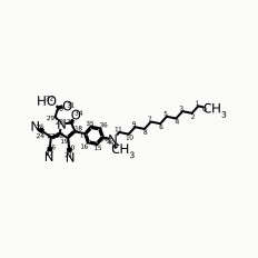 CCCCCCCCCCCCN(C)c1ccc(C2=C(C#N)C(=C(C#N)C#N)N(CC(=O)O)C2=O)cc1